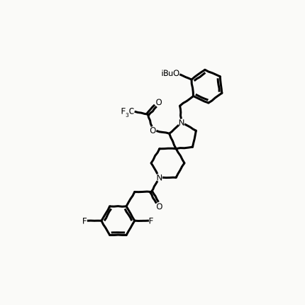 CC(C)COc1ccccc1CN1CCC2(CCN(C(=O)Cc3cc(F)ccc3F)CC2)C1OC(=O)C(F)(F)F